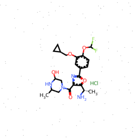 CC1CN(C(=O)c2nc(-c3ccc(OC(F)F)c(OCC4CC4)c3)oc2[C@H](C)N)CC(O)N1.Cl